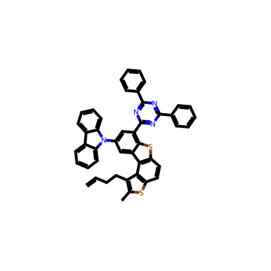 C=CCCc1c(C)sc2ccc3sc4c(-c5nc(-c6ccccc6)nc(-c6ccccc6)n5)cc(-n5c6ccccc6c6ccccc65)cc4c3c12